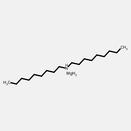 CCCCCCCCCNCCCCCCCCC.[MgH2]